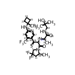 C/C(=N\C(C(=O)N1CC(F)(F)C[C@@H]1C)C(=S)c1cnc(NC2(C(F)(F)F)CCC2)cc1C(F)(F)F)C(=O)NCC(C)(C)O